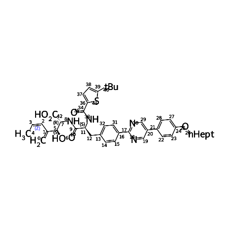 C=C(/C=C\C)[C@H](O)[C@@H](NC(=O)[C@H](Cc1ccc(-c2ncc(-c3ccc(OCCCCCCC)cc3)cn2)cc1)NC(=O)c1ccc(C(C)(C)C)s1)C(=O)O